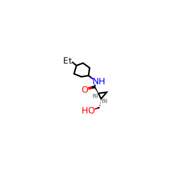 CCC1CCC(NC(=O)[C@H]2C[C@@H]2CO)CC1